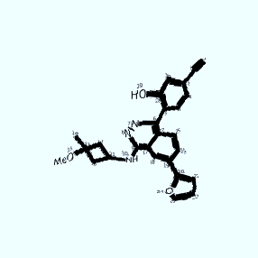 C#Cc1ccc(-c2nnc(NC3CC(C)(OC)C3)c3cc(-c4ccco4)ccc23)c(O)c1